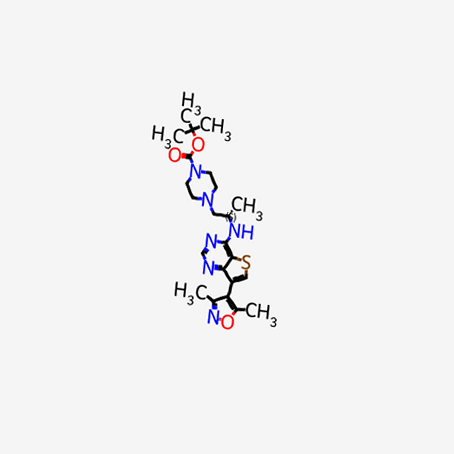 Cc1noc(C)c1-c1csc2c(N[C@@H](C)CN3CCN(C(=O)OC(C)(C)C)CC3)ncnc12